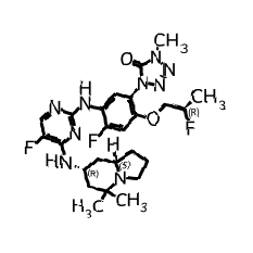 C[C@@H](F)COc1cc(F)c(Nc2ncc(F)c(N[C@@H]3C[C@@H]4CCCN4C(C)(C)C3)n2)cc1-n1nnn(C)c1=O